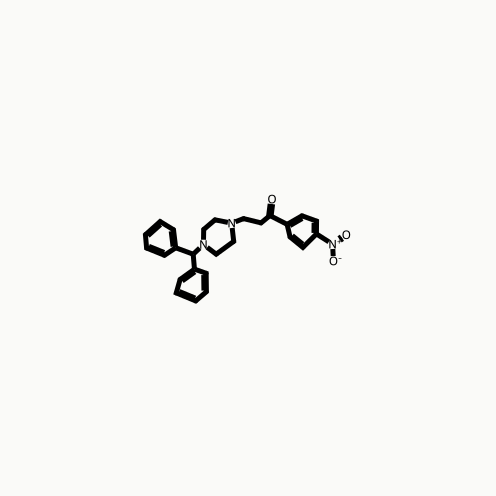 O=C(CCN1CCN(C(c2ccccc2)c2ccccc2)CC1)c1ccc([N+](=O)[O-])cc1